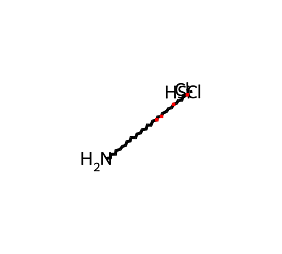 NCCCCCCCCCCCCCCCCCCCCCCCCCCCCCCC[SiH](Cl)Cl